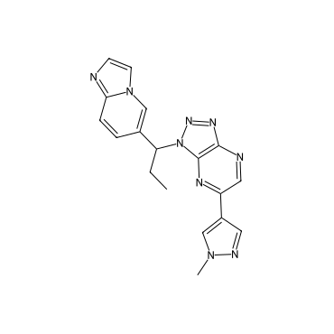 CCC(c1ccc2nccn2c1)n1nnc2ncc(-c3cnn(C)c3)nc21